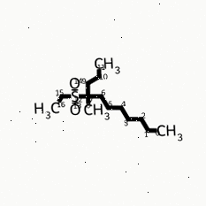 CCCCCCCC(C)(CCC)S(=O)(=O)CC